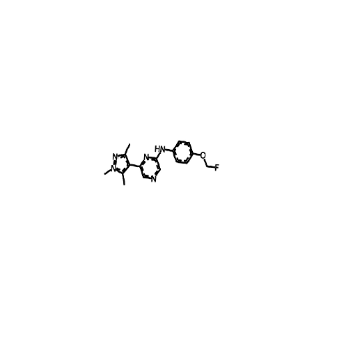 Cc1nn(C)c(C)c1-c1cncc(Nc2ccc(OCF)cc2)n1